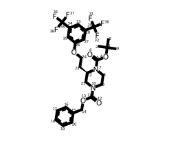 CC(C)(C)OC(=O)N1CCN(C(=O)OCc2ccccc2)C[C@H]1CCOc1cc(C(F)(F)F)cc(C(F)(F)F)c1